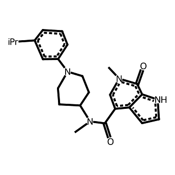 CC(C)c1cccc(N2CCC(N(C)C(=O)c3cn(C)c(=O)c4[nH]ccc34)CC2)c1